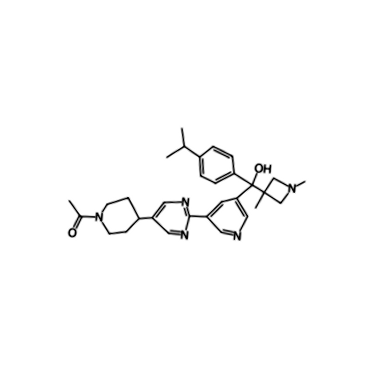 CC(=O)N1CCC(c2cnc(-c3cncc(C(O)(c4ccc(C(C)C)cc4)C4(C)CN(C)C4)c3)nc2)CC1